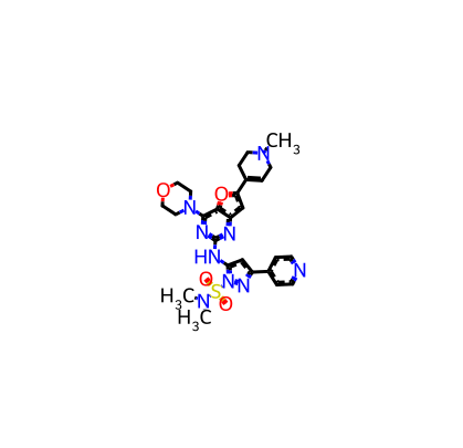 CN1CC=C(c2cc3nc(Nc4cc(-c5ccncc5)nn4S(=O)(=O)N(C)C)nc(N4CCOCC4)c3o2)CC1